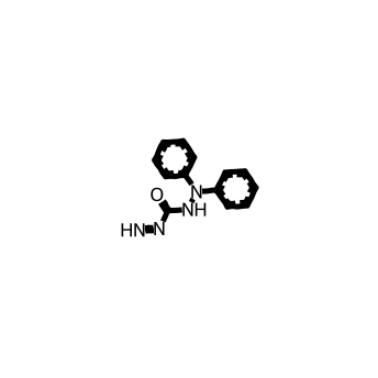 N=NC(=O)NN(c1ccccc1)c1ccccc1